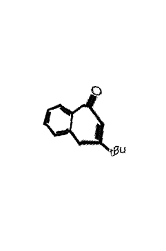 CC(C)(C)C1=CC(=O)c2ccccc2C1